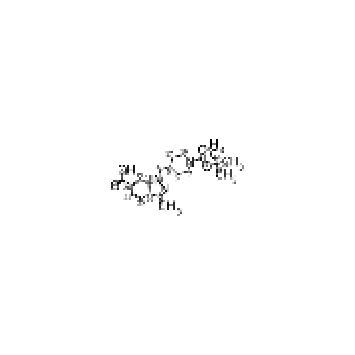 Cc1nn(CC2CCN(C(=O)OC(C)(C)C)CC2)c2cc(C(=O)O)ccc12